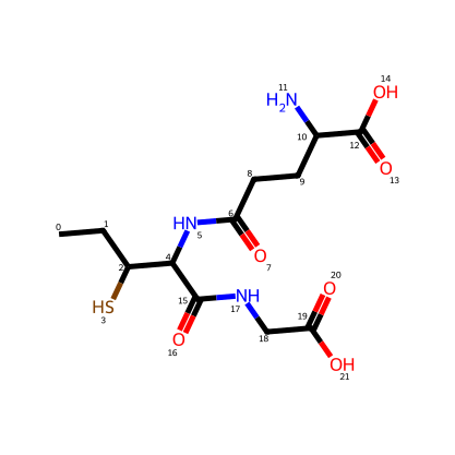 CCC(S)C(NC(=O)CCC(N)C(=O)O)C(=O)NCC(=O)O